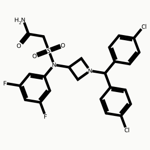 NC(=O)CS(=O)(=O)N(c1cc(F)cc(F)c1)C1CN(C(c2ccc(Cl)cc2)c2ccc(Cl)cc2)C1